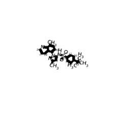 Cc1cc(NS(=O)(=O)c2ccc(C(C)(C)C)cc2)n(-c2ccc(C)c3ncccc23)n1